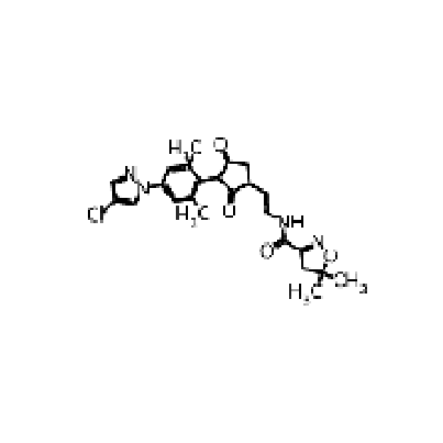 Cc1cc(-n2cc(Cl)cn2)cc(C)c1C1C(=O)CC(CCNC(=O)C2=NOC(C)(C)C2)C1=O